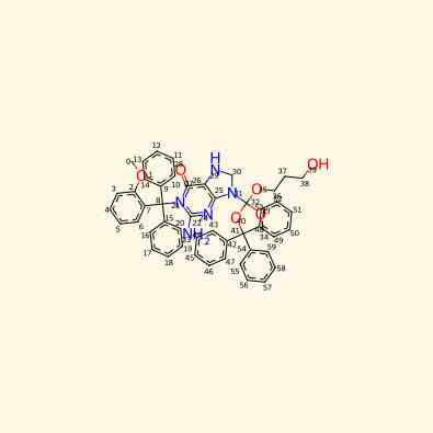 COc1ccccc1C(c1ccccc1)(c1ccccc1)n1c(N)nc2c(c1=O)NCN2C(OC)(OCCCO)OC(c1ccccc1)(c1ccccc1)c1ccccc1